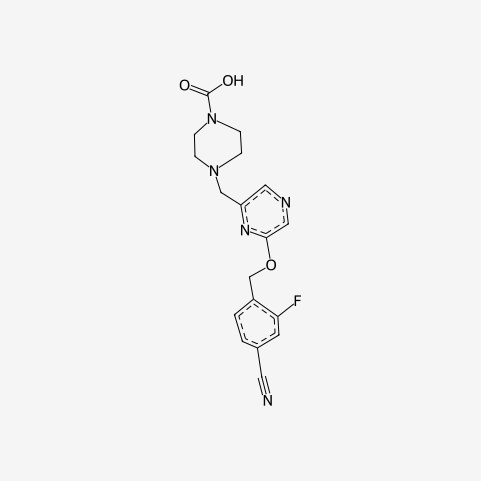 N#Cc1ccc(COc2cncc(CN3CCN(C(=O)O)CC3)n2)c(F)c1